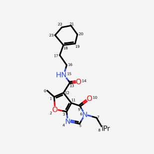 Cc1oc2ncn(CC(C)C)c(=O)c2c1C(=O)NCCC1=CCCCC1